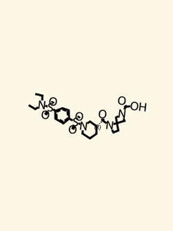 CCN(CC)S(=O)(=O)c1ccc(S(=O)(=O)N2CCC[C@@H](C(=O)N3CCC34CN(C(=O)O)C4)C2)cc1